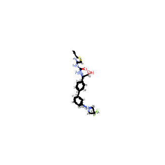 C#Cc1nc(NC(=O)NC(CO)c2ccc(-c3cccc(N4CC(F)(F)C4)c3)cc2)cs1